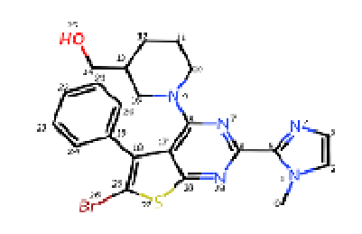 Cn1ccnc1-c1nc(N2CCCC(CO)C2)c2c(-c3ccccc3)c(Br)sc2n1